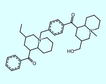 CCC1CC(C(=O)c2ccccc2)C2CCCC[N+]2(Cc2ccc(C(=O)C3CC(CO)C[N+]4(C)CCCCC34)cc2)C1